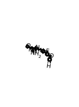 Nc1nc2c(cnn2CCN2CCN(c3ccc(C(=O)N4CCNCC4)cc3F)CC2)c2cc(-c3ccco3)nn12